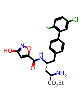 CCOC(=O)[C@H](N)C[C@@H](Cc1ccc(-c2cc(Cl)ccc2F)cc1)NC(=O)c1cc(O)no1